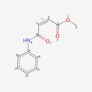 COC(=O)/C=C\C(=O)Nc1ccccc1